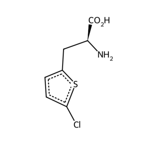 N[C@@H](Cc1ccc(Cl)s1)C(=O)O